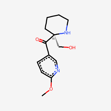 COc1ccc(C(=O)[C@@]2(CO)CCCCN2)cn1